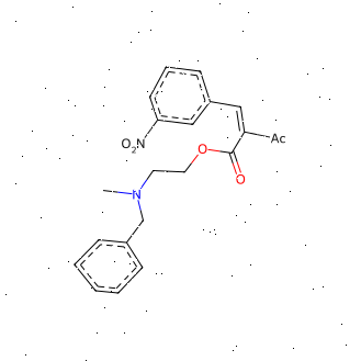 CC(=O)C(=Cc1cccc([N+](=O)[O-])c1)C(=O)OCCN(C)Cc1ccccc1